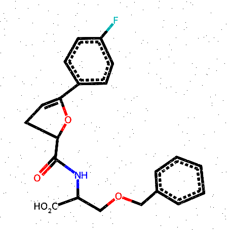 O=C(O)C(COCc1ccccc1)NC(=O)C1CC=C(c2ccc(F)cc2)O1